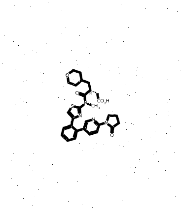 CN(C(=O)[C@@H](CC(=O)O)CC1CCOCC1)c1nc(-c2ccccc2-c2ccc(N3CCCC3=O)nc2)cs1